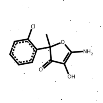 CC1(c2ccccc2Cl)OC(N)=C(O)C1=O